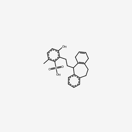 Cc1ccc(O)c(CCC2C3=C(CC=CC3)CCc3ccccc32)c1S(=O)(=O)O